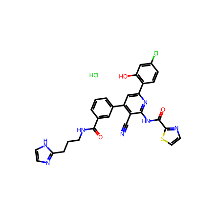 Cl.N#Cc1c(-c2cccc(C(=O)NCCCc3ncc[nH]3)c2)cc(-c2ccc(Cl)cc2O)nc1NC(=O)c1nccs1